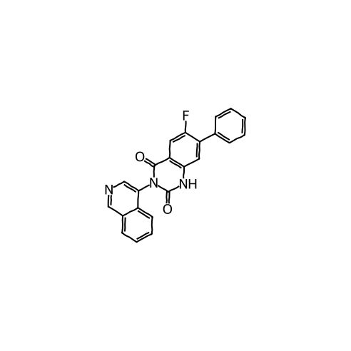 O=c1[nH]c2cc(-c3ccccc3)c(F)cc2c(=O)n1-c1cncc2ccccc12